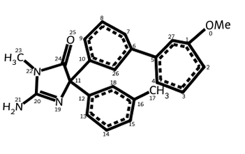 COc1cccc(-c2cccc(C3(c4cccc(C)c4)N=C(N)N(C)C3=O)c2)c1